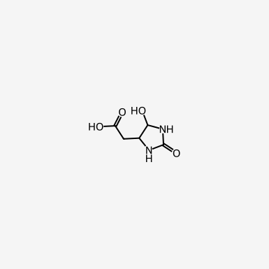 O=C(O)CC1NC(=O)NC1O